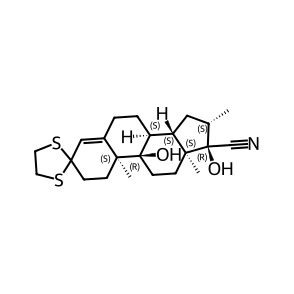 C[C@H]1C[C@H]2[C@@H]3CCC4=CC5(CC[C@]4(C)[C@@]3(O)CC[C@]2(C)[C@@]1(O)C#N)SCCS5